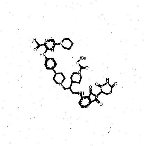 CC(C)(C)OC(=O)N1CCC(C(CNc2cccc3c2C(=O)N(C2CCC(=O)NC2=O)C3=O)CN2CCC(c3ccc(Nc4nc(N5CCCCC5)cnc4C(N)=O)cc3)CC2)CC1